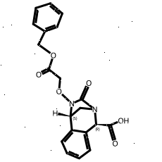 O=C(CON1C(=O)N2C[C@@H]1c1ccccc1[C@@H]2C(=O)O)OCc1ccccc1